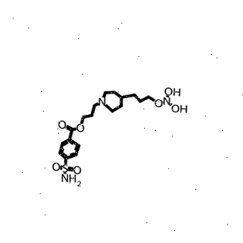 NS(=O)(=O)c1ccc(C(=O)OCCCN2CCC(CCCON(O)O)CC2)cc1